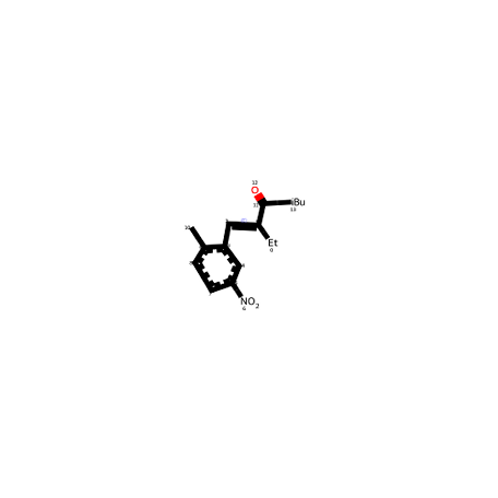 CC/C(=C\c1cc([N+](=O)[O-])ccc1C)C(=O)C(C)CC